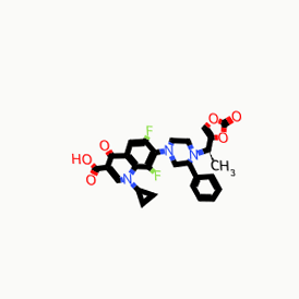 C[C@@H](c1coc(=O)o1)N1CCN(c2c(F)cc3c(=O)c(C(=O)O)cn(C4CC4)c3c2F)CC1c1ccccc1